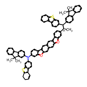 C[C@@H](c1ccc2c(c1)oc1cc3cc4oc5cc(N(c6ccc7c(c6)C(C)(C)c6ccccc6-7)c6ccc7c8c(sc7c6)CCC=C8)ccc5c4cc3cc12)C(c1ccc2c(c1)C(C)(C)c1ccccc1-2)c1ccc2c(c1)sc1ccccc12